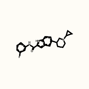 O=C(Nc1cccc(F)c1)c1cc2cc(C3CCCN(C4CC4)C3)ccc2[nH]1